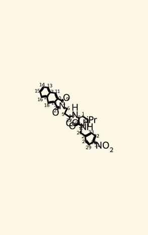 CC(C)C[C@H](N[C@H](CCN1C(=O)c2cc3ccccc3cc2C1=O)C(=O)O)C(=O)NCc1ccc([N+](=O)[O-])cc1